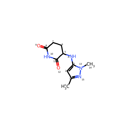 Cc1cc(NC2CCC(=O)NC2=O)n(C)n1